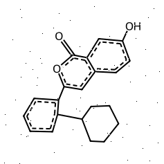 O=c1oc(-c2ccccc2C2CCCCC2)cc2ccc(O)cc12